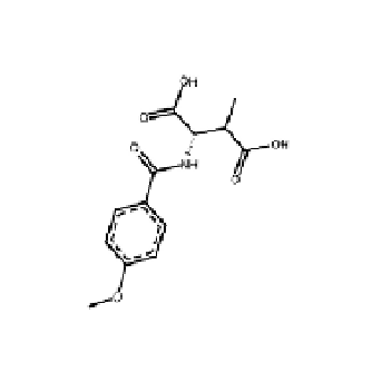 COc1ccc(C(=O)N[C@H](C(=O)O)C(C)C(=O)O)cc1